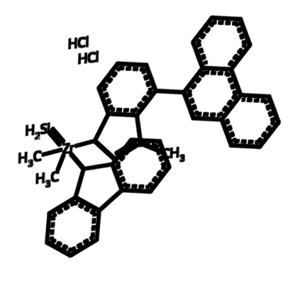 CC1=C[CH]([Zr]([CH3])([CH3])(=[SiH2])[CH]2c3ccccc3-c3ccccc32)c2cccc(-c3cc4ccccc4c4ccccc34)c21.Cl.Cl